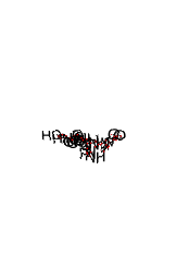 COc1cc(CN2CCN(C3CC4(CCN(c5ccc(C(=O)NS(=O)(=O)c6ccc(NCC7CCC(C)(O)CC7)c([N+](=O)[O-])c6)c(Oc6cnc7[nH]cc(F)c7c6)c5)CC4)C3)C(c3ccccc3C(C)C)C2)cc2c1OCC2